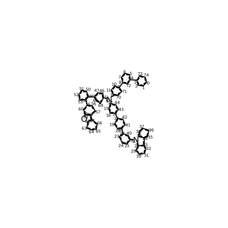 c1ccc(-c2cccc(-c3ccc(N(c4ccc(-c5ccc(-c6cccc(-n7c8ccccc8c8ccccc87)c6)cc5)cc4)c4ccc(-c5ccccc5-c5ccc6c(c5)oc5ccccc56)cc4)cc3)c2)cc1